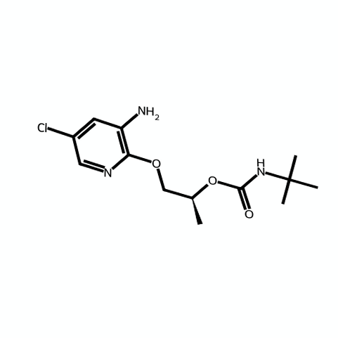 C[C@@H](COc1ncc(Cl)cc1N)OC(=O)NC(C)(C)C